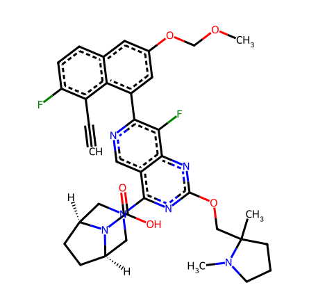 C#Cc1c(F)ccc2cc(OCOC)cc(-c3ncc4c(N5C[C@H]6CC[C@@H](C5)N6C(=O)O)nc(OCC5(C)CCCN5C)nc4c3F)c12